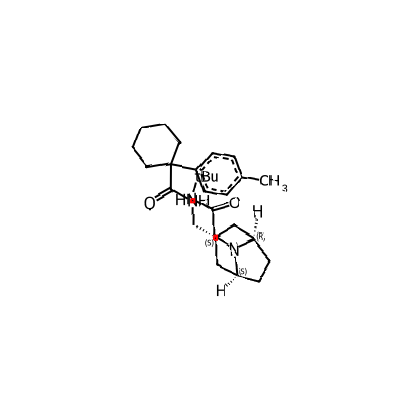 Cc1ccc(C2(C(=O)NC[C@@H]3C[C@H]4CC[C@@H](C3)N4CC(=O)NC(C)(C)C)CCCCC2)cc1